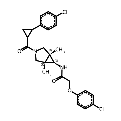 C[C@@]12CN(C(=O)C3CC3c3ccc(Cl)cc3)C[C@]1(C)[C@H]2NC(=O)COc1ccc(Cl)cc1